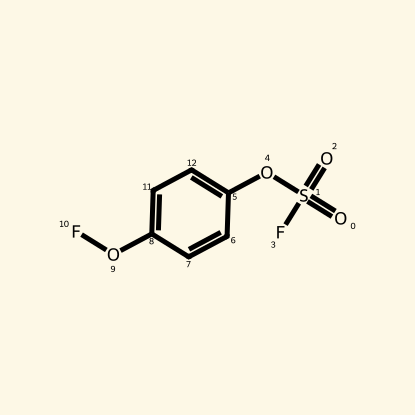 O=S(=O)(F)Oc1ccc(OF)cc1